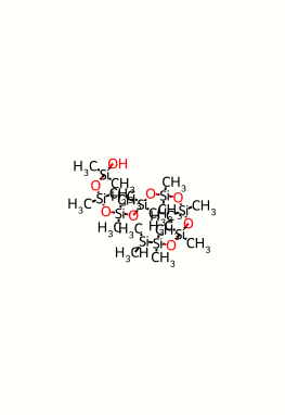 C[SiH](C)[Si](C)(C)O[Si](C)(C)O[Si](C)(C)O[Si](C)(C)O[Si](C)(C)O[Si](C)(C)O[Si](C)(C)O[Si](C)(C)O